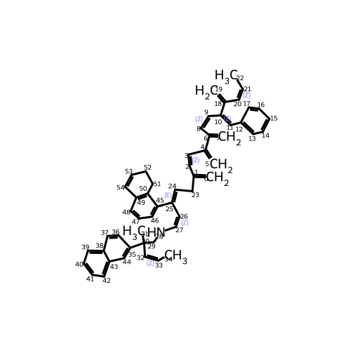 C=C(/C=C\C(=C)C(=C)/C=C\C(=C\c1ccccc1)C(=C)/C=C\C)C/C=C(\C=C/NCC(C)(/C=C\C)c1ccc2ccccc2c1)c1cccc2c1CCC=C2